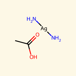 CC(=O)O.[NH2][Ag][NH2]